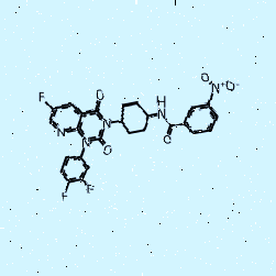 O=C(NC1CCC(n2c(=O)c3cc(F)cnc3n(-c3ccc(F)c(F)c3)c2=O)CC1)c1cccc([N+](=O)[O-])c1